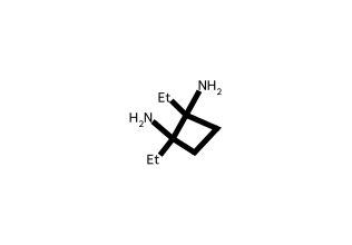 CCC1(N)CCC1(N)CC